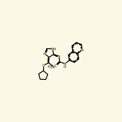 C=C(/N=C1/NC=N/C1=C(/N)OC1CCCC1)Nc1ccc2ncccc2c1